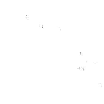 O=C(Nc1cccnc1)N1CCC(CN2CCN(c3nccc4ccccc34)CC2)CC1